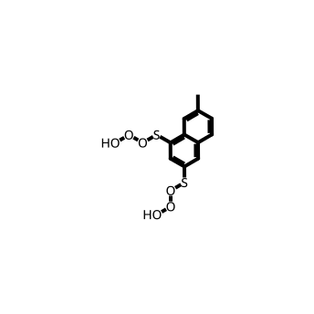 Cc1ccc2cc(SOOO)cc(SOOO)c2c1